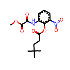 COC(=O)C(=O)Nc1cccc([N+](=O)[O-])c1OC(=O)CCC(C)(C)C